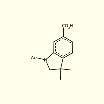 CC(=O)N1CC(C)(C)c2ccc(C(=O)O)cc21